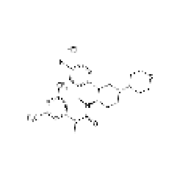 CN(C(=O)N(C)[C@@H]1CCN(C2CCSCC2)C[C@H]1c1ccc(F)cc1)c1cc(C(F)(F)F)cc(C(F)(F)F)c1.Cl